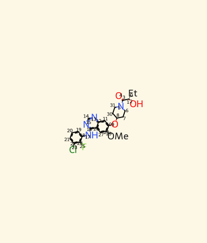 CC[C@H](O)C(=O)N1CCC(Oc2cc3ncnc(Nc4cccc(Cl)c4F)c3cc2OC)CC1